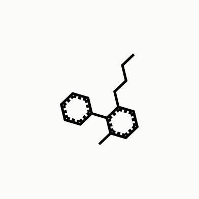 CCCCc1cccc(C)c1-c1ccccc1